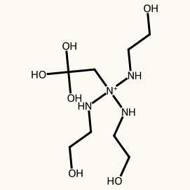 OCCN[N+](CC(O)(O)O)(NCCO)NCCO